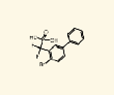 O=P(O)(O)C(F)(F)c1cc(-c2ccccc2)ccc1Br